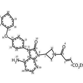 CCOC(=O)C=CC(=O)N1CC(n2c(=O)n(-c3ccc(Oc4ccccc4)cc3)c3c(N)ncnc32)C1